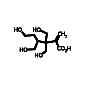 C=C(C(=O)O)C(CO)(CO)C(CO)CCO